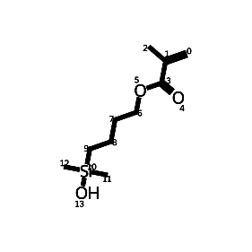 C=C(C)C(=O)OCCCC[Si](C)(C)O